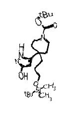 CC(C)(C)OC(=O)N1CCC(CCCO[Si](C)(C)C(C)(C)C)(c2cc(O)n[nH]2)CC1